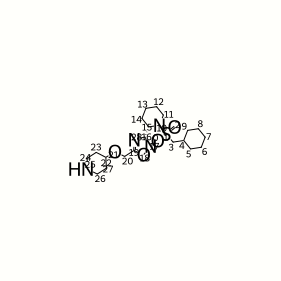 O=S(=O)(CC1CCCCC1)N1CCCC[C@H]1c1noc(COC2CCNCC2)n1